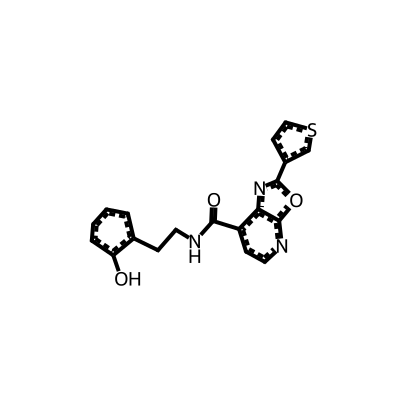 O=C(NCCc1ccccc1O)c1ccnc2oc(-c3ccsc3)nc12